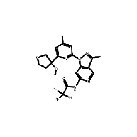 [2H]C([2H])([2H])C(=O)Nc1cc2c(cn1)c(C)nn2-c1cc(C)cc([C@]2(OC)CCOC2)n1